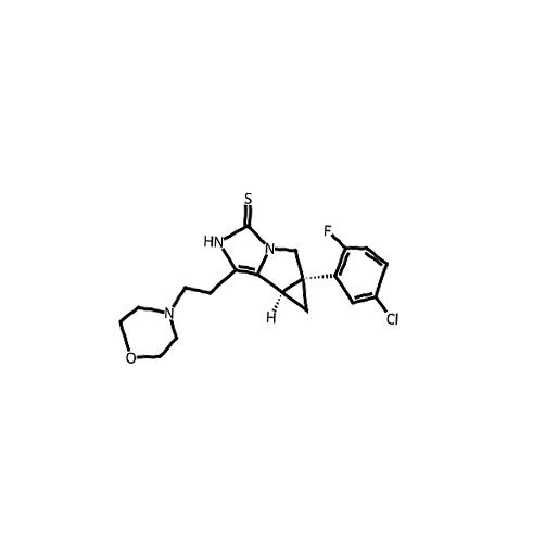 Fc1ccc(Cl)cc1[C@]12C[C@H]1c1c(CCN3CCOCC3)[nH]c(=S)n1C2